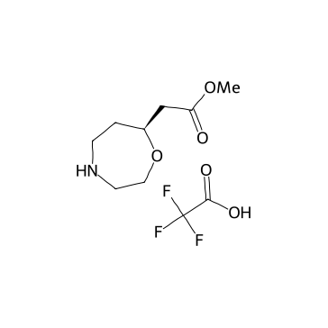 COC(=O)C[C@@H]1CCNCCO1.O=C(O)C(F)(F)F